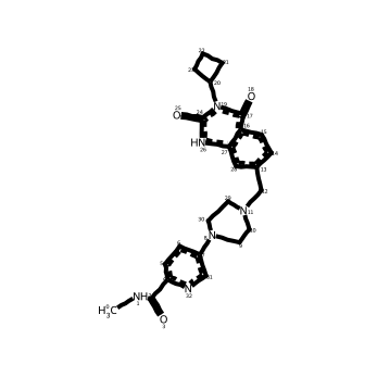 CNC(=O)c1ccc(N2CCN(Cc3ccc4c(=O)n(C5CCC5)c(=O)[nH]c4c3)CC2)cn1